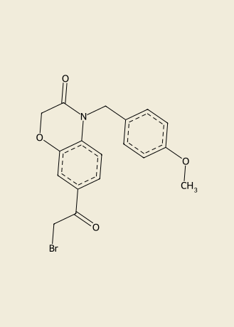 COc1ccc(CN2C(=O)COc3cc(C(=O)CBr)ccc32)cc1